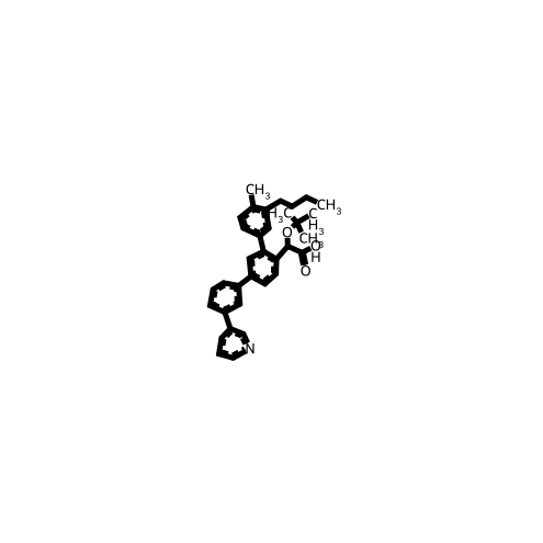 CCCCc1cc(-c2cc(-c3cccc(-c4cccnc4)c3)ccc2C(OC(C)(C)C)C(=O)O)ccc1C